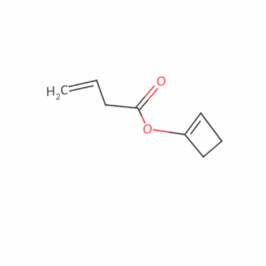 C=CCC(=O)OC1=CCC1